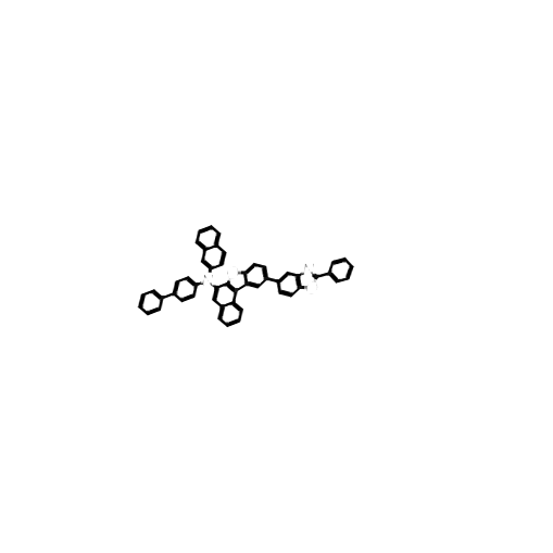 c1ccc(-c2ccc(N(c3ccc4ccccc4c3)c3cc4ccccc4c4c3oc3ccc(-c5ccc6oc(-c7ccccc7)nc6c5)cc34)cc2)cc1